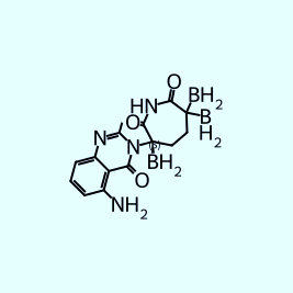 BC1(B)CC[C@](B)(n2c(C)nc3cccc(N)c3c2=O)C(=O)NC1=O